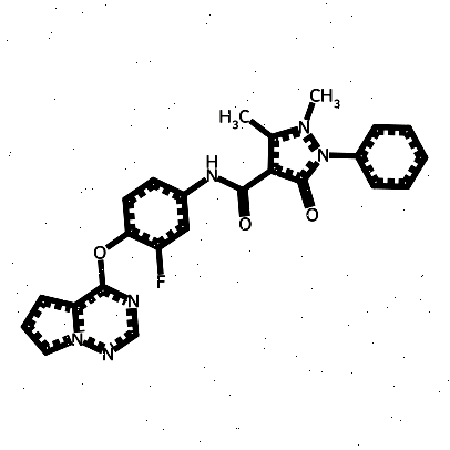 Cc1c(C(=O)Nc2ccc(Oc3ncnn4cccc34)c(F)c2)c(=O)n(-c2ccccc2)n1C